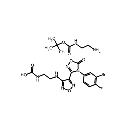 CC(C)(C)OC(=O)NCCN.O=C(O)NCCNc1nonc1-c1noc(=O)n1-c1ccc(F)c(Br)c1